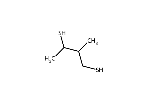 CC(S)C(C)CS